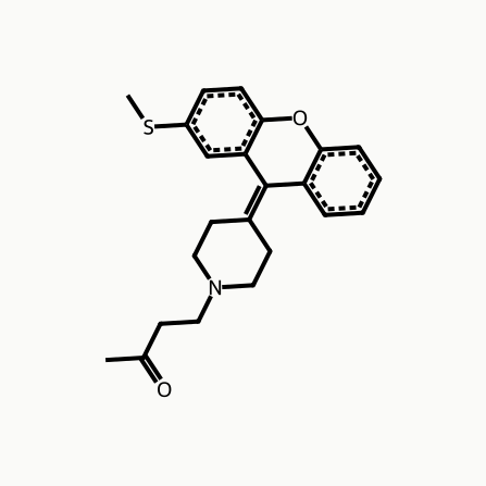 CSc1ccc2c(c1)C(=C1CCN(CCC(C)=O)CC1)c1ccccc1O2